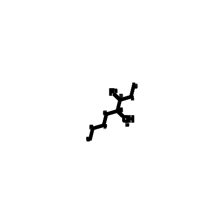 [CH2]CC(F)C(O)CCCC